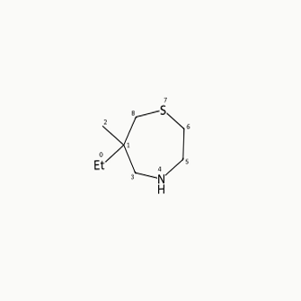 CCC1(C)CNCCSC1